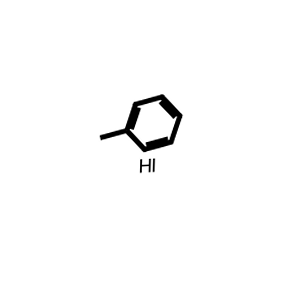 Cc1ccccc1.I